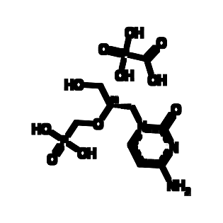 Nc1ccn(C[C@@H](CO)OCP(=O)(O)O)c(=O)n1.O=C(O)P(=O)(O)O